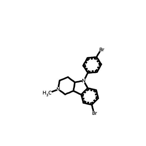 CN1CCC2C(C1)c1cc(Br)ccc1N2c1ccc(Br)cc1